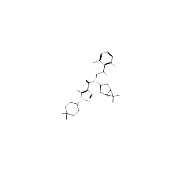 CCOC(=O)C1(C)CCC(n2ncc(C(=O)N(CC(O)c3c(Cl)cccc3Cl)C3C[C@@H]4[C@H](C3)C4(C)C)c2C(F)(F)F)CC1